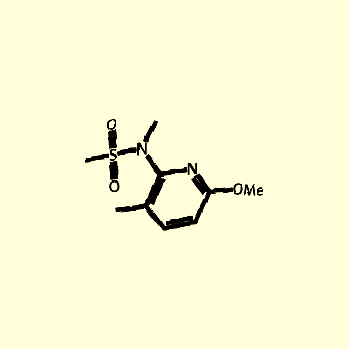 COc1ccc(C)c(N(C)S(C)(=O)=O)n1